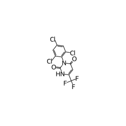 O=c1cc(C(F)(F)F)[nH]c(=O)n1-c1c(Cl)cc(Cl)cc1Cl